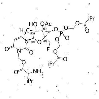 CC(=O)O[C@]12C(OP(=O)(OCOC(=O)C(C)C)OCOC(=O)C(C)C)[C@@]1(CF)O[C@@H](n1ccc(=O)n(COC(=O)C(N)C(C)C)c1=O)[C@]2(C)O